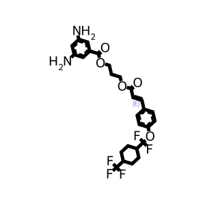 Nc1cc(N)cc(C(=O)OCCCOC(=O)/C=C/c2ccc(OC(F)(F)C3CCC(C(F)(F)F)CC3)cc2)c1